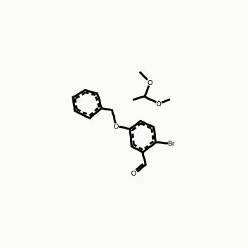 COC(C)OC.O=Cc1cc(OCc2ccccc2)ccc1Br